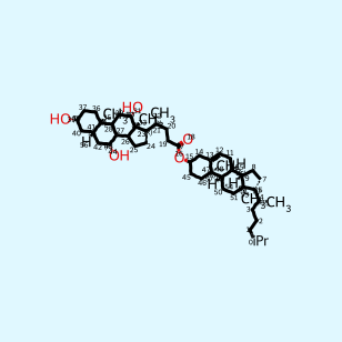 CC(C)CCC[C@@H](C)[C@H]1CC[C@H]2[C@@H]3CC=C4CC(OC(=O)CC[C@@H](C)[C@H]5CCC6C7C(C[C@H](O)[C@@]65C)[C@@]5(C)CC[C@@H](O)C[C@H]5C[C@H]7O)CC[C@]4(C)[C@H]3CC[C@]12C